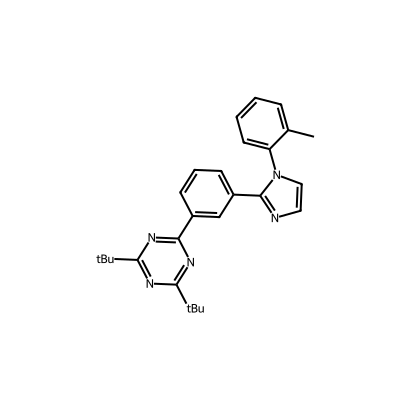 Cc1ccccc1-n1ccnc1-c1cccc(-c2nc(C(C)(C)C)nc(C(C)(C)C)n2)c1